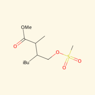 CCC(C)C(COS(C)(=O)=O)C(C)C(=O)OC